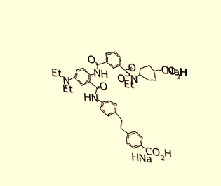 CCN(CC)c1ccc(NC(=O)c2cccc(S(=O)(=O)N(CC)C3CCC(C(=O)O)CC3)c2)c(C(=O)Nc2ccc(CCc3ccc(C(=O)O)cc3)cc2)c1.[NaH].[NaH]